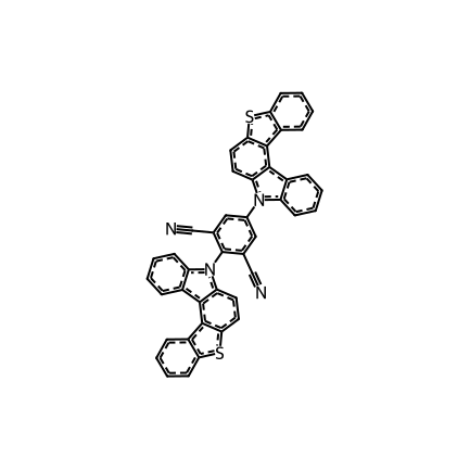 N#Cc1cc(-n2c3ccccc3c3c4c(ccc32)sc2ccccc24)cc(C#N)c1-n1c2ccccc2c2c3c(ccc21)sc1ccccc13